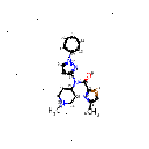 Cc1csc(C(=O)N(c2ccn(-c3ccccc3)n2)C2CCN(C)CC2)n1